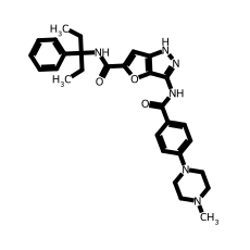 CCC(CC)(NC(=O)c1cc2[nH]nc(NC(=O)c3ccc(N4CCN(C)CC4)cc3)c2o1)c1ccccc1